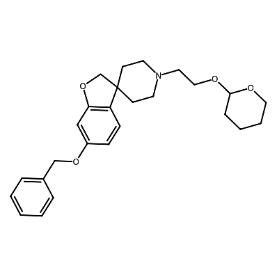 c1ccc(COc2ccc3c(c2)OCC32CCN(CCOC3CCCCO3)CC2)cc1